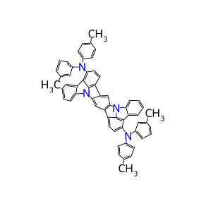 Cc1ccc(N(c2cccc(C)c2)c2ccc3c4cc5c(cc4n4c6ccccc6c2c34)c2ccc(N(c3ccc(C)cc3)c3cccc(C)c3)c3c4ccccc4n5c23)cc1